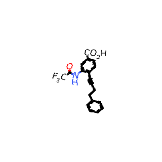 O=C(O)c1ccc(C#CCCc2ccccc2)c(NC(=O)C(F)(F)F)c1